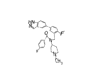 CN1CCC(N(Cc2cc(-c3ccc4[nH]ncc4c3)ccc2F)C(=O)c2ccc(F)cc2)CC1